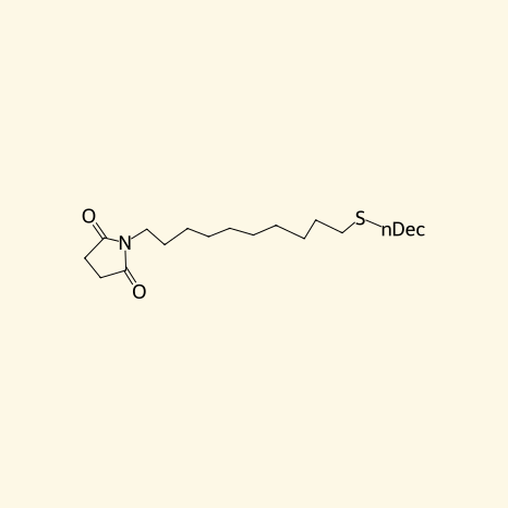 CCCCCCCCCCSCCCCCCCCCCN1C(=O)CCC1=O